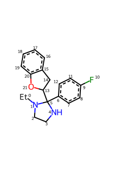 CCN1CCNC1(c1ccc(F)cc1)C1Cc2ccccc2O1